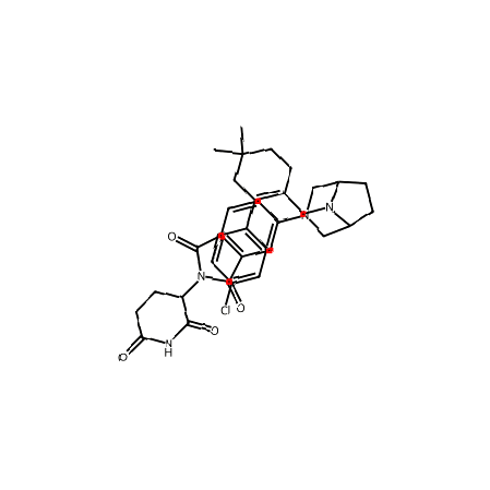 CC1(C)CCC(CN2C3CCC2CN(c2ccc4c(c2)C(=O)N(C2CCC(=O)NC2=O)C4=O)C3)=C(c2ccc(Cl)cc2)C1